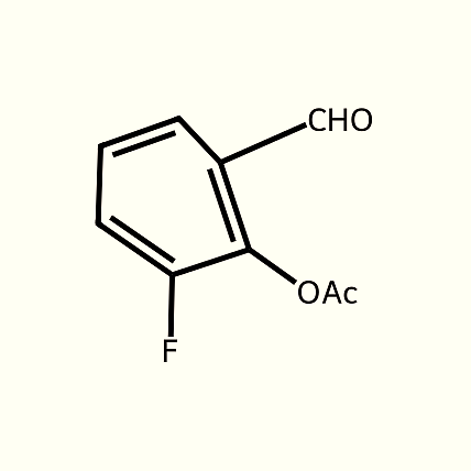 CC(=O)Oc1c(F)cccc1C=O